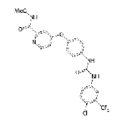 CONC(=O)c1cc(Oc2ccc(NC(=O)Nc3ccc(Cl)c(C(F)(F)F)c3)cc2)ccn1